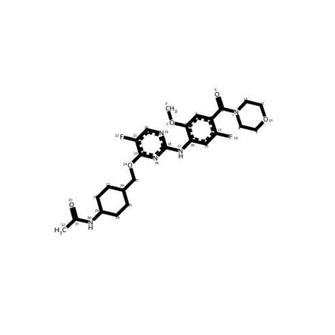 COc1cc(C(=O)N2CCOCC2)c(F)cc1Nc1ncc(F)c(OCC2CCC(NC(C)=O)CC2)n1